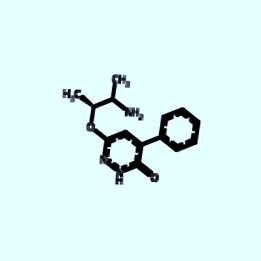 CC(N)[C@H](C)Oc1cc(-c2ccccc2)c(=O)[nH]n1